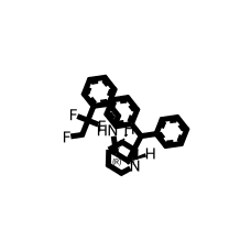 FCC(F)(F)c1ccccc1CN[C@@H]1C2CCN(CC2)[C@H]1C(c1ccccc1)c1ccccc1